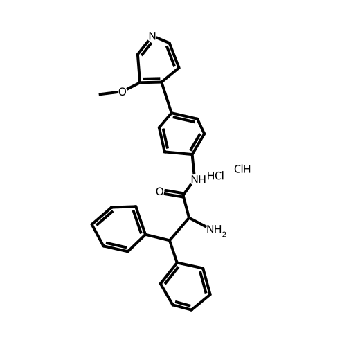 COc1cnccc1-c1ccc(NC(=O)C(N)C(c2ccccc2)c2ccccc2)cc1.Cl.Cl